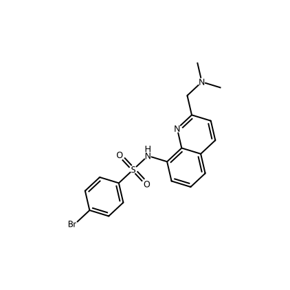 CN(C)Cc1ccc2cccc(NS(=O)(=O)c3ccc(Br)cc3)c2n1